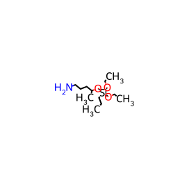 CCC[Si](OCC)(OCC)OC(C)CCCN